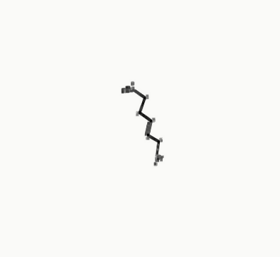 CCCCCC/C=C/CC(C)C